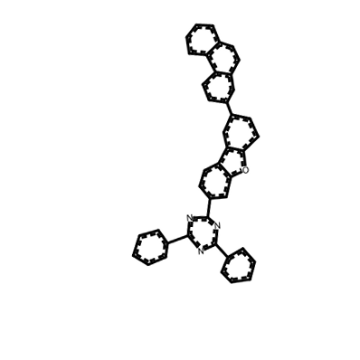 c1ccc(-c2nc(-c3ccccc3)nc(-c3ccc4c(c3)oc3ccc(-c5ccc6c(ccc7ccccc76)c5)cc34)n2)cc1